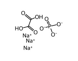 O=C(O)C(=O)O.O=P([O-])([O-])[O-].[Na+].[Na+].[Na+]